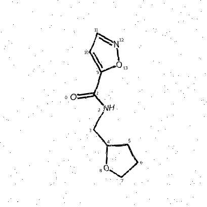 O=C(NCC1CCCO1)c1ccno1